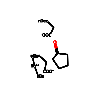 CCCCCCCCCCCC(=O)[O-].CCCCCCCCCCCC(=O)[O-].CCC[CH2][Sn+2][CH2]CCC.O=C1CCCC1